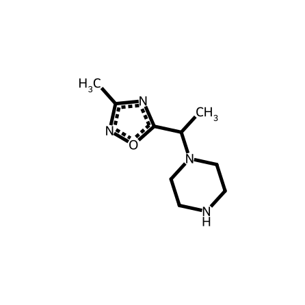 Cc1noc(C(C)N2CCNCC2)n1